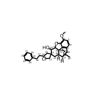 COc1ccc2c3c1OC1C(O)C(CCl)(CCCCc4ccccc4)C[C@H]4[C@@H](C2)N(C)CC[C@]314